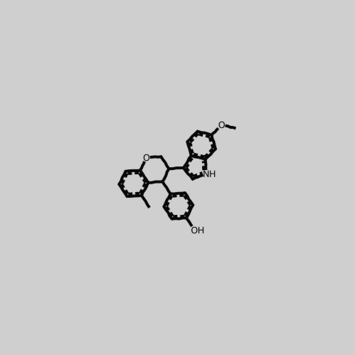 COc1ccc2c(C3COc4cccc(C)c4C3c3ccc(O)cc3)c[nH]c2c1